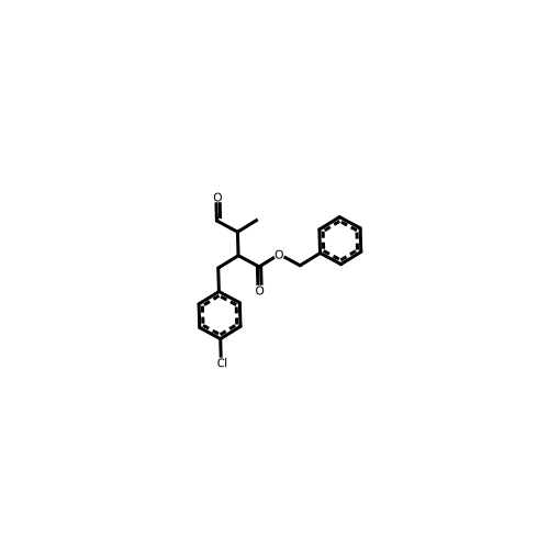 CC(C=O)C(Cc1ccc(Cl)cc1)C(=O)OCc1ccccc1